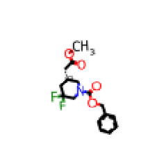 COC(=O)C[C@@H]1CN(C(=O)OCc2ccccc2)CC(F)(F)C1